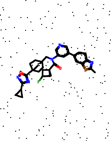 Cc1nc2ccc(-c3cncc(N(CC45CCC(c6nc(C7CC7)no6)(CC4)CC5)C(=O)C45CC(F)(C4)C5)c3)cc2s1